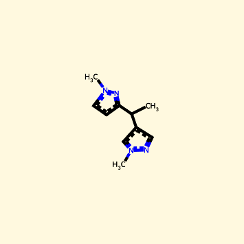 C[C](c1cnn(C)c1)c1ccn(C)n1